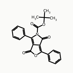 CC(C)(C)OC(=O)N1C(=O)C2=C(c3ccccc3)OC(=O)C2=C1c1ccccc1